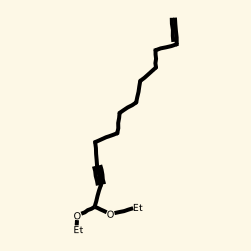 C=CCCCCCCCC#CC(OCC)OCC